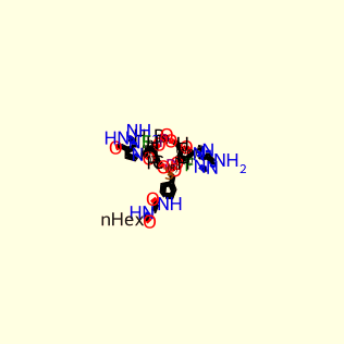 B[P@]1(=O)OC[C@H]2O[C@@H](n3cnc4c(N)ncnc43)[C@H](F)[C@@H]2O[P@](=O)(SCc2ccc(NC(=O)CNC(=O)CCCCCC)cc2)OC[C@H]2O[C@@H](n3ccc4c(=O)[nH]c(N)nc43)[C@H](F)[C@@H]2O1